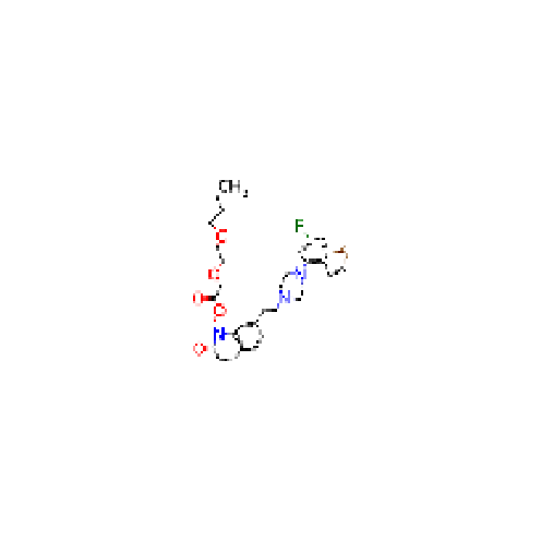 CCCCOCCOCC(=O)OCN1C(=O)CCc2ccc(CCN3CCN(c4cc(F)cc5sccc45)CC3)cc21